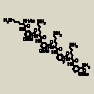 COc1ccc(NC(=O)[C@H](CCCCN)NC(=O)c2cc(NC(=O)[C@H](CCCCN)NC(=O)c3cc(NC(=O)[C@H](CCCCN)NC(=O)c4cc(NC(=O)[C@H](CCCCN)NC(C)=O)ccc4OC)ccc3OC)ccc2F)cc1C(N)=O